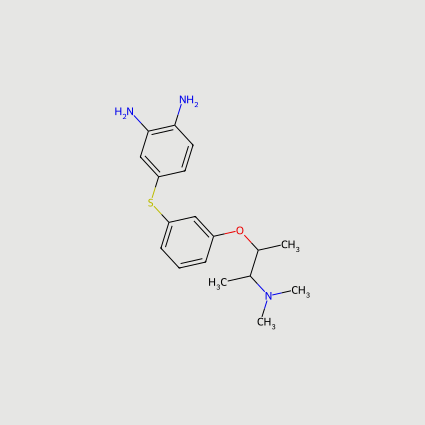 CC(Oc1cccc(Sc2ccc(N)c(N)c2)c1)C(C)N(C)C